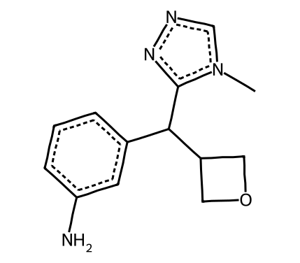 Cn1cnnc1C(c1cccc(N)c1)C1COC1